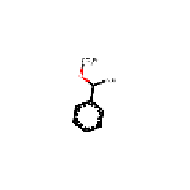 CCCCC(OC(=O)OCC)c1ccccc1